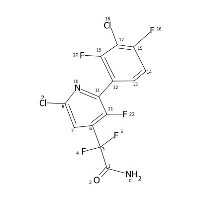 NC(=O)C(F)(F)c1cc(Cl)nc(-c2ccc(F)c(Cl)c2F)c1F